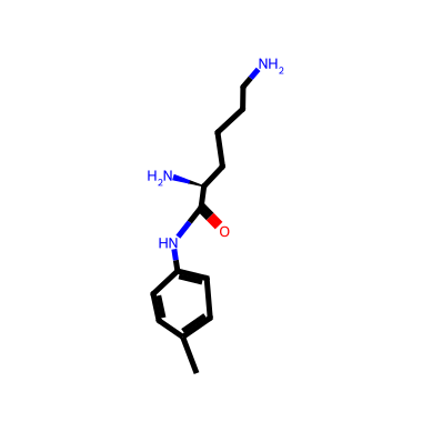 Cc1ccc(NC(=O)[C@@H](N)CCCCN)cc1